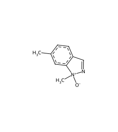 Cc1ccc2c(c1)[N+](C)([O-])N=C2